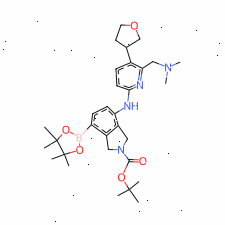 CN(C)Cc1nc(Nc2ccc(B3OC(C)(C)C(C)(C)O3)c3c2CN(C(=O)OC(C)(C)C)C3)ccc1C1CCOC1